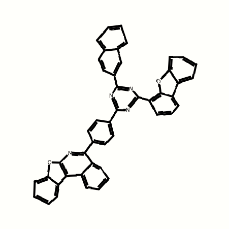 c1ccc2cc(-c3nc(-c4ccc(-c5nc6oc7ccccc7c6c6ccccc56)cc4)nc(-c4cccc5c4oc4ccccc45)n3)ccc2c1